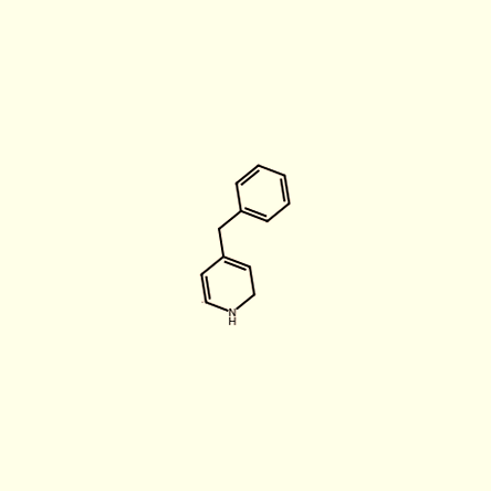 [C]1=CC(Cc2ccccc2)=CCN1